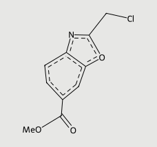 COC(=O)c1ccc2nc(CCl)oc2c1